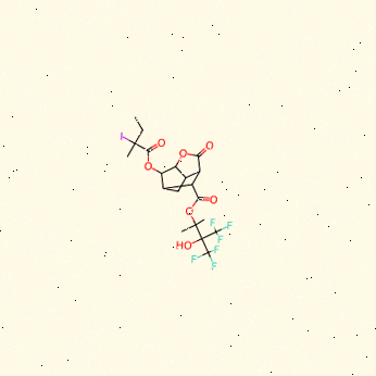 CCC(C)(I)C(=O)OC1C2CC3C1OC(=O)C3C2C(=O)OC(C)(C)C(O)(C(F)(F)F)C(F)(F)F